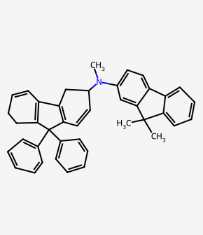 CN(c1ccc2c(c1)C(C)(C)c1ccccc1-2)C1C=CC2=C(C1)C1=C(CCC=C1)C2(c1ccccc1)c1ccccc1